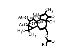 COC1[C@@H](C)[C@@]2(O)C(C=C(COC(=O)C(C)(C)C)CC3(O)C(=O)C(C)=C[C@H]32)C2C(C)(C)C12OC(C)=O